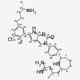 CC(C[C@@H]1CCCC[C@@H](c2ccc(-n3cc4cc(-c5cc(CCC[C@H](C)N)cc(Cl)c5F)[nH]c4nc3=O)cc2)N1)SC(=N)N